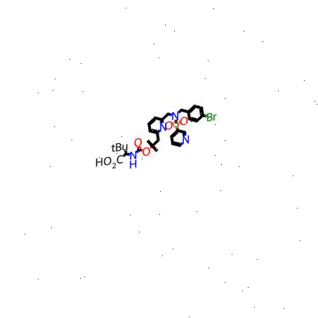 CC(C)(Cc1cccc(CN(Cc2ccc(Br)cc2)S(=O)(=O)c2cccnc2)n1)OC(=O)NC(C(=O)O)C(C)(C)C